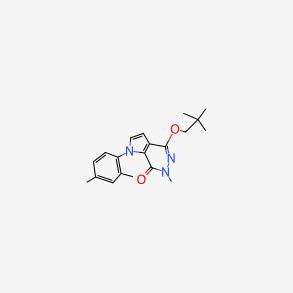 Cc1ccc(-n2ccc3c(OCC(C)(C)C)nn(C)c(=O)c32)c(C)c1